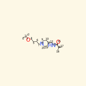 CC(C)OCCCCN1CCC(CNC(=O)C(C)C)CC1